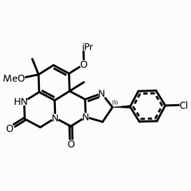 COC1(C)C=C(OC(C)C)C2(C)C3=N[C@@H](c4ccc(Cl)cc4)CN3C(=O)N3CC(=O)NC1=C32